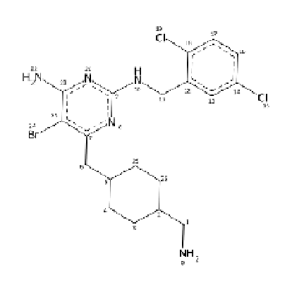 NCC1CCC(Cc2nc(NCc3cc(Cl)ccc3Cl)nc(N)c2Br)CC1